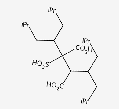 CC(C)CC(CC(C)C)C(C(=O)O)C(C(=O)O)(C(CC(C)C)CC(C)C)S(=O)(=O)O